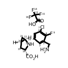 NCc1cccc(Cl)c1F.O=C(O)C(F)(F)F.O=C(O)[C@@H]1C[C@H]2C[C@H]2N1